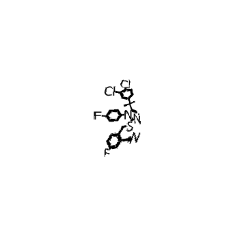 CC(C)(c1ccc(Cl)c(Cl)c1)c1cnc(SCc2ccc(F)cc2C#N)n1-c1ccc(F)cc1